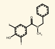 CN(Cc1ccccc1)C(=O)c1cc(I)c(O)c(I)c1